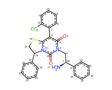 N[C@@H](Cn1c(=O)c(-c2ccccc2Cl)c2n(c1=O)C(c1ccccc1)CS2)c1ccccc1